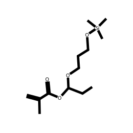 C=C(C)C(=O)OC(CC)OCCCO[Si](C)(C)C